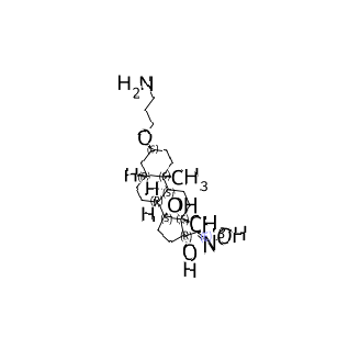 C[C@]12CC[C@H](OCCCN)C[C@H]1CC[C@@H]1[C@@H]2CC[C@]2(C)[C@@](O)(/C=N/O)CC[C@]12O